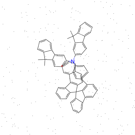 CC1(C)c2ccccc2-c2cc(N(c3ccc(-c4cccc5c4C4(c6ccccc6-5)c5ccccc5-c5c4ccc4ccccc54)cc3)c3ccc4c(c3)C(C)(C)c3ccccc3-4)ccc21